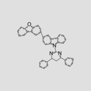 c1ccc(C2=NC(n3c4ccccc4c4cc(-c5ccc6oc7ccccc7c6c5)ccc43)=NC(c3ccccc3)C2)cc1